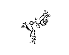 CNc1ncc2cc(-c3cc(NC(=O)c4ccnc(C(F)(F)F)c4)ccc3C)c(C#C[Si](C)(C)C)nc2n1